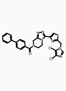 O=C(c1ccc(-c2ccccc2)cc1)N1CCn2c(nnc2-c2csc(Cn3cnc(Cl)c3Cl)n2)C1